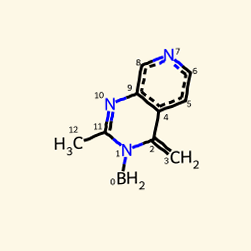 BN1C(=C)c2ccncc2N=C1C